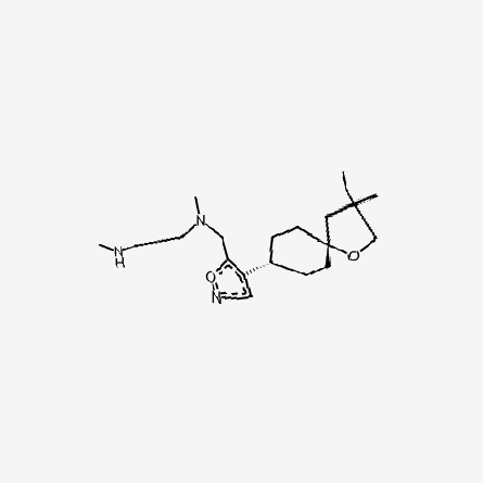 CNCCN(C)Cc1oncc1[C@H]1CC[C@@]2(CC1)CC(C)(C)CO2